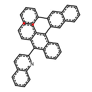 c1ccc(-c2cc3ccccc3cc2-c2c3ccccc3c(-c3ccc4ccccc4n3)c3ccccc23)cc1